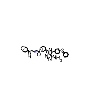 Nc1ncnc2c1c(-c1ccc(Oc3ccccc3)cc1)nn2C1CCCN(C(=O)/C=C/CNC2CCOCC2)C1